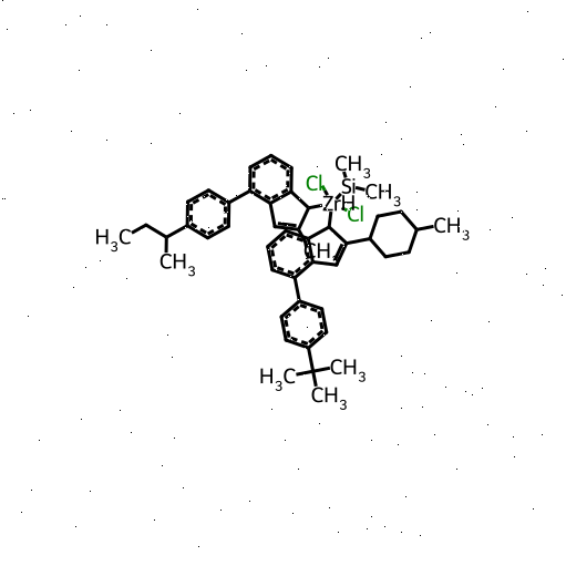 CCC(C)c1ccc(-c2cccc3c2C=C(C)[CH]3[Zr]([Cl])([Cl])([CH]2C(C3CCC(C)CC3)=Cc3c(-c4ccc(C(C)(C)C)cc4)cccc32)[SiH](C)C)cc1